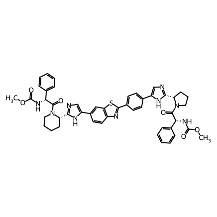 COC(=O)N[C@@H](C(=O)N1CCCC[C@H]1c1ncc(-c2ccc3nc(-c4ccc(-c5cnc([C@@H]6CCCN6C(=O)[C@H](NC(=O)OC)c6ccccc6)[nH]5)cc4)sc3c2)[nH]1)c1ccccc1